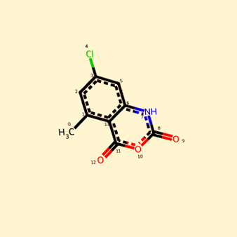 Cc1cc(Cl)cc2[nH]c(=O)oc(=O)c12